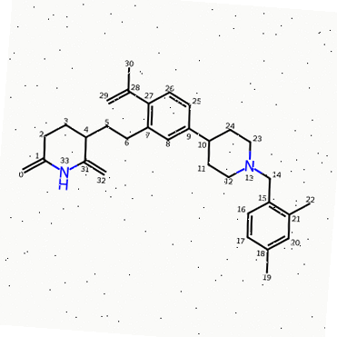 C=C1CCC(CCc2cc(C3CCN(Cc4ccc(C)cc4C)CC3)ccc2C(=C)C)C(=C)N1